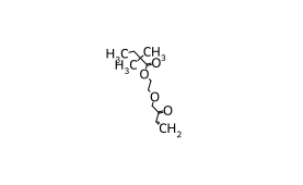 C=CC(=O)COCCOC(=O)C(C)(C)CC